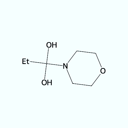 CCC(O)(O)N1CCOCC1